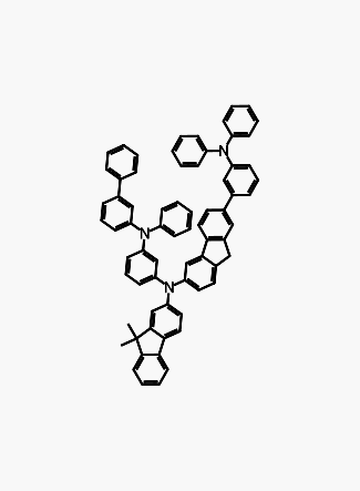 CC1(C)c2ccccc2-c2ccc(N(c3cccc(N(c4ccccc4)c4cccc(-c5ccccc5)c4)c3)c3ccc4c(c3)-c3ccc(-c5cccc(N(c6ccccc6)c6ccccc6)c5)cc3C4)cc21